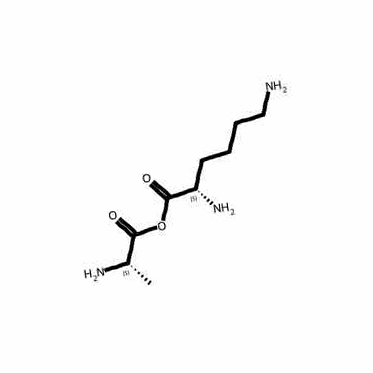 C[C@H](N)C(=O)OC(=O)[C@@H](N)CCCCN